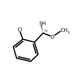 CO[C@@H](S)c1ccccc1Cl